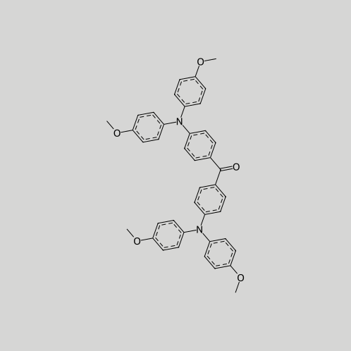 COc1ccc(N(c2ccc(OC)cc2)c2ccc(C(=O)c3ccc(N(c4ccc(OC)cc4)c4ccc(OC)cc4)cc3)cc2)cc1